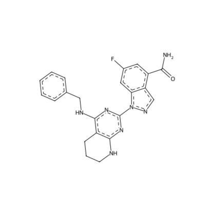 NC(=O)c1cc(F)cc2c1cnn2-c1nc2c(c(NCc3ccccc3)n1)CCCN2